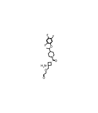 CC(Oc1cc(F)c(F)cc1F)C1CCN(C(=O)[C@H]2C[C@](N)(COCC=O)C2)CC1